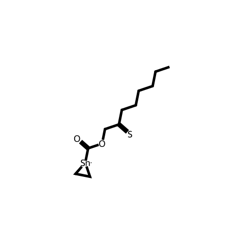 CCCCCCC(=S)CO[C](=O)[Sn]1[CH2][CH2]1